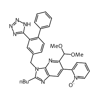 CCCCc1nc2cc(-c3cccc[n+]3[O-])c(C(OC)OC)nc2n1Cc1ccc(-c2ccccc2)c(-c2nnn[nH]2)c1